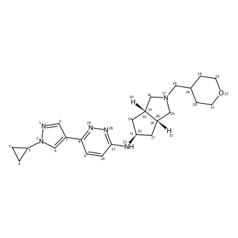 c1nn(C2CC2)cc1-c1ccc(N[C@H]2C[C@@H]3CN(CC4CCOCC4)C[C@@H]3C2)nn1